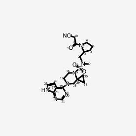 CN(CC1CCCN1C(=O)CC#N)S(=O)(=O)N1CCN(c2ncnc3[nH]ccc23)CC12CC2